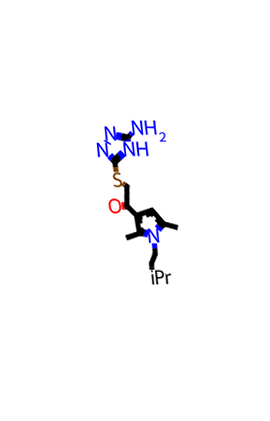 Cc1cc(C(=O)CSc2nnc(N)[nH]2)c(C)n1CCC(C)C